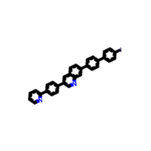 Ic1ccc(-c2ccc(-c3ccc4cc(-c5ccc(-c6ccccn6)cc5)cnc4c3)cc2)cc1